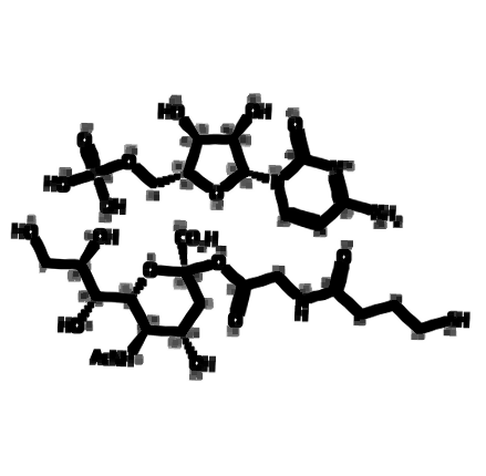 CC(=O)N[C@H]1[C@H]([C@H](O)[C@H](O)CO)O[C@](OC(=O)CNC(=O)CCCS)(C(=O)O)C[C@@H]1O.Nc1ccn([C@@H]2O[C@H](COP(=O)(O)O)[C@@H](O)[C@H]2O)c(=O)n1